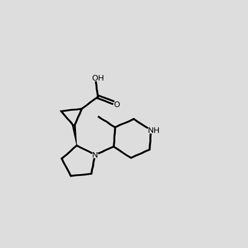 CC1CNCCC1N1CCC[C@H]1C1CC1C(=O)O